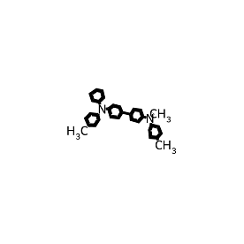 Cc1ccc(N(C)c2ccc(-c3ccc(N(c4ccccc4)c4ccc(C)cc4)cc3)cc2)cc1